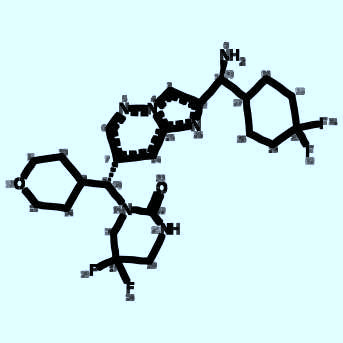 N[C@H](c1cn2ncc([C@@H](C3CCOCC3)N3CC(F)(F)CNC3=O)cc2n1)C1CCC(F)(F)CC1